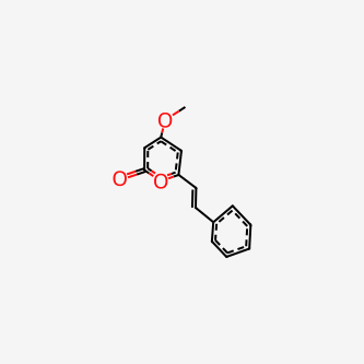 COc1cc(C=Cc2ccccc2)oc(=O)c1